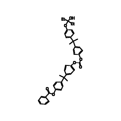 CCC(O)(CC)Oc1ccc(C(C)(C)c2ccc(OC(=O)Oc3ccc(C(C)(C)c4ccc(OC(=O)c5ccccc5)cc4)cc3)cc2)cc1